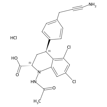 CC(=O)NN1c2cc(Cl)cc(Cl)c2[C@H](c2ccc(CC#CN)cc2)C[C@H]1C(=O)O.Cl